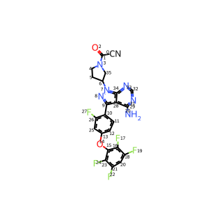 N#CC(=O)N1CCC(n2nc(-c3ccc(Oc4c(F)c(F)cc(F)c4F)cc3F)c3c(N)ncnc32)C1